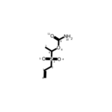 C=CCS(=O)(=O)C(C)OC(N)=O